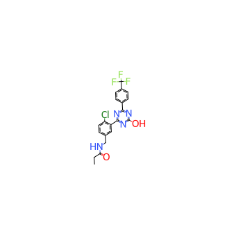 CCC(=O)NCc1ccc(Cl)c(-c2nc(O)nc(-c3ccc(C(F)(F)F)cc3)n2)c1